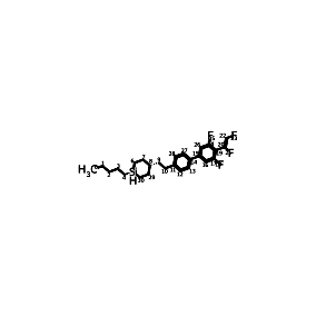 CCCCC[Si@H]1CC[C@H](CCc2ccc(-c3cc(F)c(C(F)=CF)c(F)c3)cc2)CC1